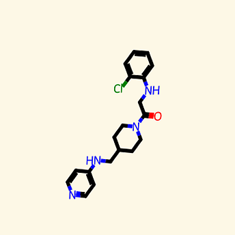 O=C(CNc1ccccc1Cl)N1CCC(CNc2ccncc2)CC1